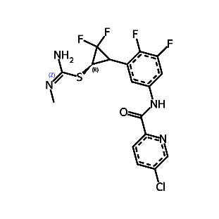 C/N=C(/N)S[C@@H]1C(c2cc(NC(=O)c3ccc(Cl)cn3)cc(F)c2F)C1(F)F